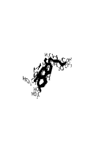 C[C@H](CCC(=O)C(C)(C)O)[C@H]1CC[C@H]2[C@@H]3C[C@@](O)(CC(=O)O)[C@@H]4C[C@@](O)(CC(=O)O)CC[C@]4(C)[C@H]3CC[C@]12C